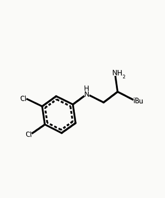 CCC(C)C(N)CNc1ccc(Cl)c(Cl)c1